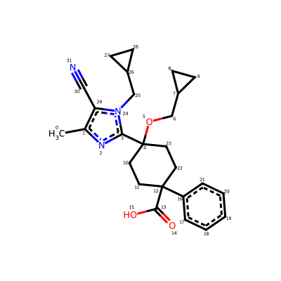 Cc1nc(C2(OCC3CC3)CCC(C(=O)O)(c3ccccc3)CC2)n(CC2CC2)c1C#N